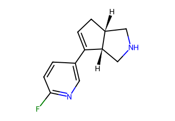 Fc1ccc(C2=CC[C@@H]3CNC[C@H]23)cn1